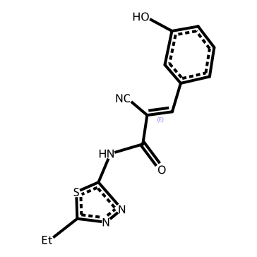 CCc1nnc(NC(=O)/C(C#N)=C/c2cccc(O)c2)s1